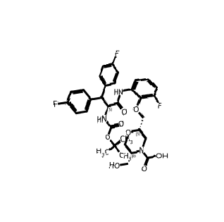 CC(C)(C)OC(=O)N[C@H](C(=O)Nc1cccc(F)c1OC[C@@H]1CN(C(=O)O)[C@H](CO)CO1)C(c1ccc(F)cc1)c1ccc(F)cc1